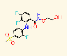 CS(=O)(=O)c1ccc(Nc2c(C(=O)NOCCO)ccc(F)c2F)c(F)c1